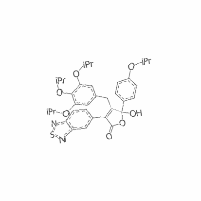 CC(C)Oc1ccc(C2(O)OC(=O)C(c3ccc4nsnc4c3)=C2Cc2cc(OC(C)C)c(OC(C)C)c(OC(C)C)c2)cc1